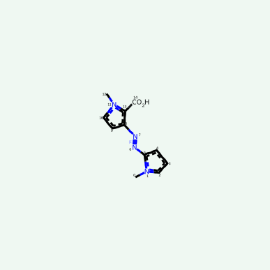 Cn1cccc1/N=N/c1ccn(C)c1C(=O)O